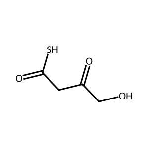 O=C(S)CC(=O)CO